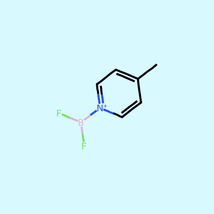 Cc1cc[n+](B(F)F)cc1